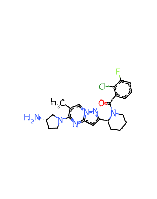 Cc1cn2nc([C@@H]3CCCCN3C(=O)c3cccc(F)c3Cl)cc2nc1N1CC[C@H](N)C1